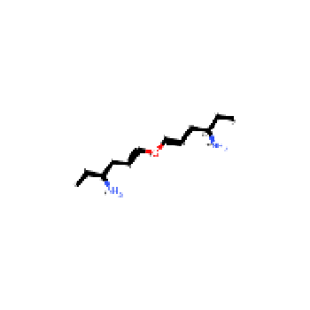 CCC(N)CC=COC=CCC(N)CC